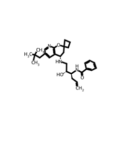 C=CC[C@H](NC(=O)c1ccccc1)[C@H](O)CN[C@H]1CC2(CCC2)Oc2ncc(CC(C)(C)C)cc21